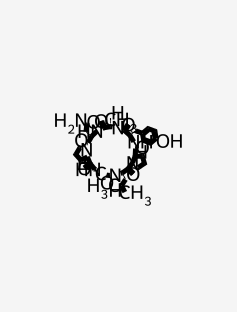 CC(C)C[C@@H]1NC(=O)CNC(=O)[C@@H]2CCCN2C(=O)[C@H](CC(N)=O)NC(=O)[C@H](C)NC(=O)[C@H](Cc2ccc(O)cc2)NC(=O)[C@@H]2CCCN2C1=O